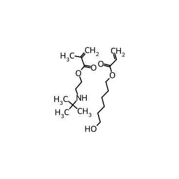 C=C(C)C(=O)OCCNC(C)(C)C.C=CC(=O)OCCCCCCO